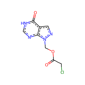 O=C(CCl)OCn1ncc2c(=O)[nH]cnc21